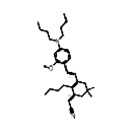 CCCCC1=C(/C=C/c2ccc(N(CCCC)CCCC)cc2OC)CC(C)(C)C/C1=C\C#N